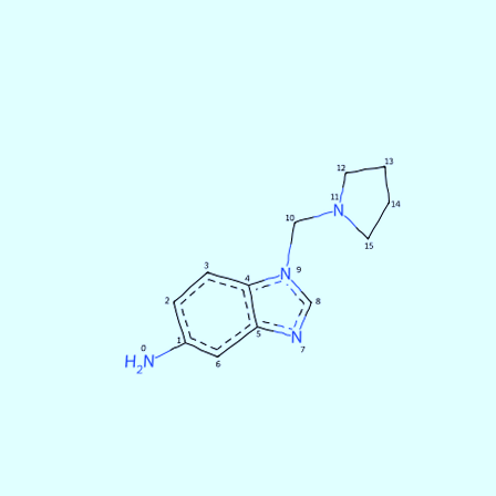 Nc1ccc2c(c1)ncn2CN1CCCC1